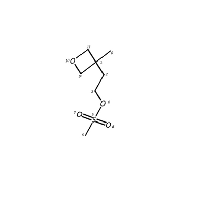 CC1(CCOS(C)(=O)=O)COC1